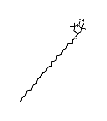 CCCCCCCCCCCCCCCCCCCCCCOC1CC(C)(C)N(O)C(C)(C)C1